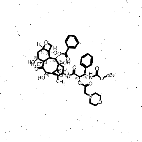 CC1=C2[C@@H](O)C(=O)[C@@]3(C)C([C@H](OC(=O)c4ccccc4)[C@](O)(C[C@@H]1OC(=O)[C@H](OC(=O)CN1CCOCC1)[C@@H](NC(=O)OC(C)(C)C)c1ccccc1)C2(C)C)[C@]1(O)CO[C@@H]1C[C@@H]3O